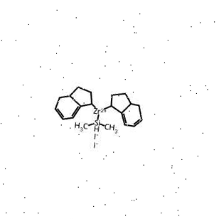 C[SiH](C)[Zr+2]([CH]1CCC2CC=CC=C21)[CH]1CCC2CC=CC=C21.[I-].[I-]